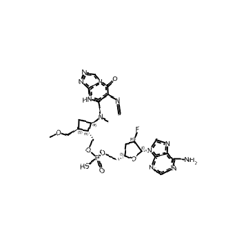 C=Nc1c(N(C)[C@@H]2C[C@H](COC)[C@H]2COP(=O)(S)OC[C@@H]2C[C@@H](F)[C@H](n3cnc4c(N)ncnc43)O2)[nH]c2nncn2c1=O